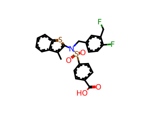 Cc1c(N(Cc2ccc(F)c(CF)c2)S(=O)(=O)c2ccc(C(=O)O)cc2)sc2ccccc12